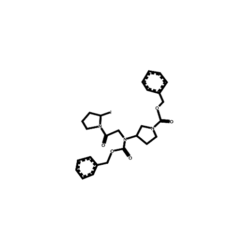 O=C(OCc1ccccc1)N1CCC(N(CC(=O)N2CCCC2I)C(=O)OCc2ccccc2)C1